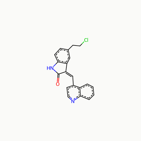 O=C1Nc2ccc(CCCl)cc2C1=Cc1ccnc2ccccc12